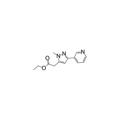 CCOC(=O)Cc1cc(-c2cccnc2)nn1C